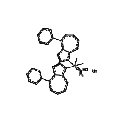 Cc1cc2c(-c3ccccc3)ccccc-2[c]1[Zr]([CH3])([CH3])(=[SiH2])[c]1c(C)cc2c(-c3ccccc3)ccccc1-2.Cl.Cl